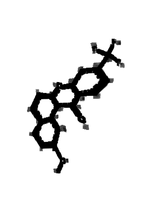 COc1ccc2ccc3oc4cc(C(F)(F)F)ccc4c(=O)c3c2c1